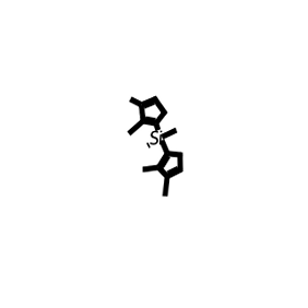 CC1=CCC([Si](C)(C)C2=C(C)C(C)=CC2)=C1C